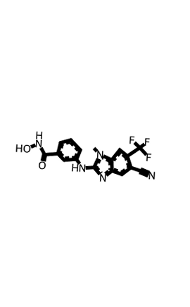 Cn1c(Nc2cccc(C(=O)NO)c2)nc2cc(C#N)c(C(F)(F)F)cc21